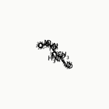 CC(C)(C(=O)NCCN1CCOCC1)c1cc(-c2cncc(-c3cc(-c4ccccc4)no3)n2)ccn1